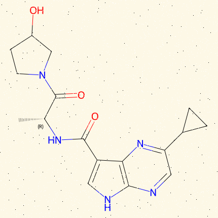 C[C@@H](NC(=O)c1c[nH]c2ncc(C3CC3)nc12)C(=O)N1CCC(O)C1